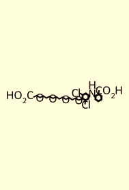 O=C(O)CCOCCCOCCCOCCCOc1c(Cl)cc(Nc2ccccc2C(=O)O)cc1Cl